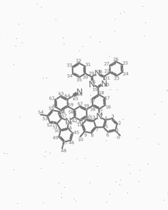 Cc1ccc2c(c1)c1cc(C)ccc1n2-c1ccc(-c2nc(-c3ccccc3)nc(-c3ccccc3)n2)cc1-c1ccc(-n2c3ccc(C)cc3c3cc(C)ccc32)c(-c2ccccc2C#N)c1